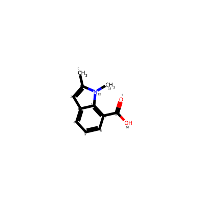 Cc1cc2cccc(C(=O)O)c2n1C